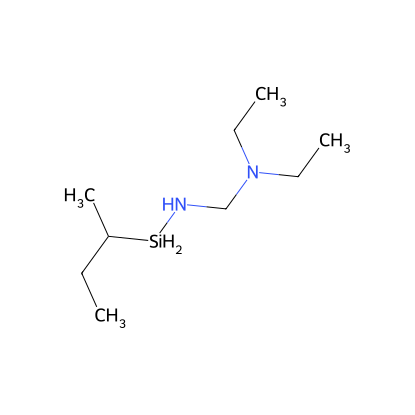 CCC(C)[SiH2]NCN(CC)CC